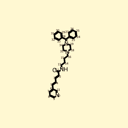 O=C(/C=C/C=C/c1cccnc1)NCCCCN1CCN(C(c2ccccc2)c2ccccc2)CC1